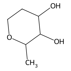 CC1OCCC(O)C1O